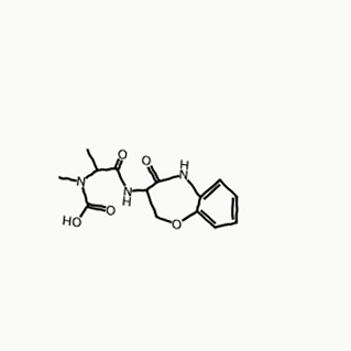 CC(C(=O)NC1COc2ccccc2NC1=O)N(C)C(=O)O